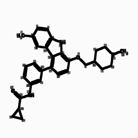 Cc1ccc2[nH]c3c(OCC4CCN(C)CC4)ccc(-c4cccc(NC(=O)C5CC5)c4)c3c2c1